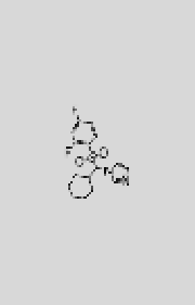 O=S(=O)(c1ccc(F)cc1F)C(C1CCCCC1)n1ccnc1